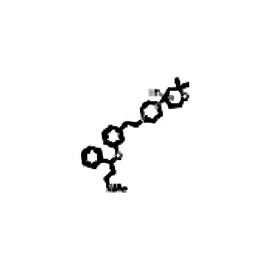 CC[C@@]1(N2CCN(CCc3cccc(OC(CCNC)c4ccccc4)c3)CC2)CCOC(C)(C)C1